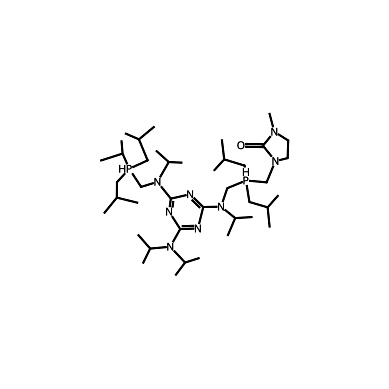 CC(C)C[PH](CC(C)C)(CN1CCN(C)C1=O)CN(c1nc(N(C[PH](CC(C)C)(CC(C)C)C(C)C)C(C)C)nc(N(C(C)C)C(C)C)n1)C(C)C